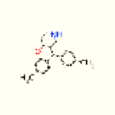 Cc1ccc(C(c2ccc(C)cc2)C2CNCCC2=O)cc1